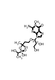 CCC(C)(CCO[C@H]([C@H](O)CO)n1cnc2c(=O)n(C)c(N)nc21)OP(=O)(O)C(C)O